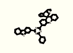 c1ccc(-c2nc(-c3ccc4c(c3)Sc3ccccc3C43c4ccccc4-c4ccccc43)nc(-c3ccc4c(c3)sc3ccccc34)n2)cc1